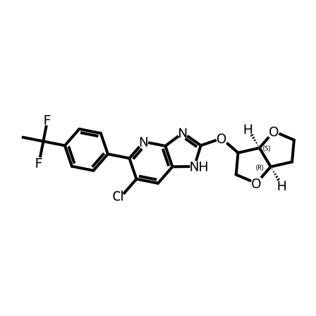 CC(F)(F)c1ccc(-c2nc3nc(OC4CO[C@@H]5CCO[C@H]45)[nH]c3cc2Cl)cc1